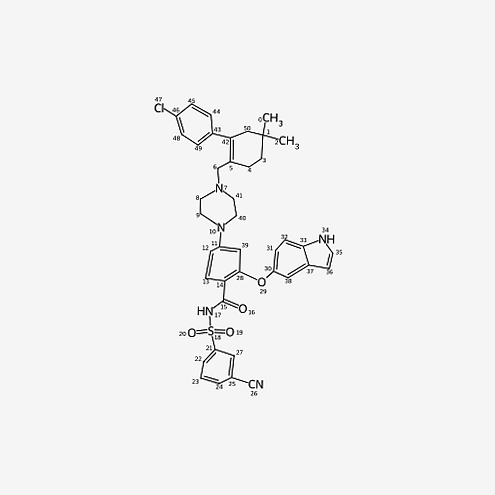 CC1(C)CCC(CN2CCN(c3ccc(C(=O)NS(=O)(=O)c4cccc(C#N)c4)c(Oc4ccc5[nH]ccc5c4)c3)CC2)=C(c2ccc(Cl)cc2)C1